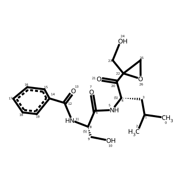 CC(C)C[C@H](NC(=O)[C@H](CO)NC(=O)c1ccccc1)C(=O)C1(CO)CO1